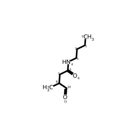 CCCCNC(=O)CC(C)C=O